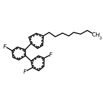 CCCCCCCCc1ccc(-c2cc(F)ccc2-c2cc(F)ccc2F)cc1